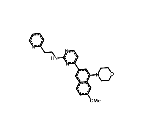 COc1ccc2cc(-c3ccnc(NCCc4ccccn4)n3)cc(N3CCOCC3)c2c1